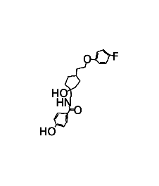 O=C(NCC1(O)CCC(CCOc2ccc(F)cc2)CC1)c1ccc(O)cc1